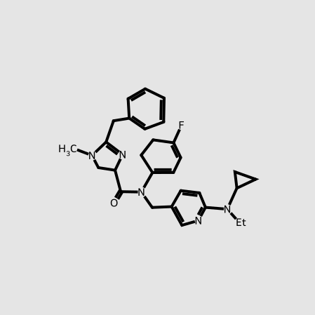 CCN(c1ccc(CN(C(=O)C2CN(C)C(Cc3ccccc3)=N2)C2=CC=C(F)CC2)cn1)C1CC1